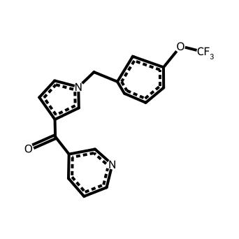 O=C(c1cccnc1)c1ccn(Cc2cccc(OC(F)(F)F)c2)c1